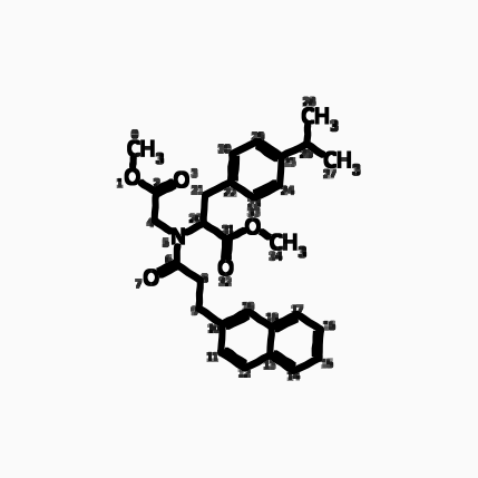 COC(=O)CN(C(=O)CCc1ccc2ccccc2c1)C(Cc1ccc(C(C)C)cc1)C(=O)OC